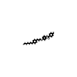 CCCCCCCC1CCC(CCCOc2ccc(OC(=O)C3CCC(C)CC3)cc2)CC1